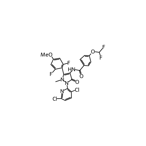 COc1cc(F)c(-c2c(NC(=O)c3ccc(OC(F)F)cc3)c(=O)n(-c3nc(Cl)ccc3Cl)n2C)c(F)c1